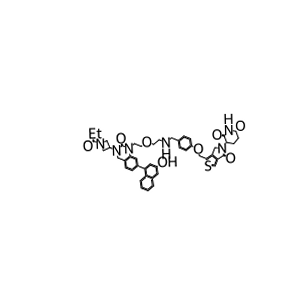 CCC(=O)N1CC(N2Cc3ccc(-c4cc(O)cc5ccccc45)cc3N(CCOCCNCc3ccc(OCc4scc5c4CN(C4CCC(=O)NC4=O)C5=O)cc3)C2=O)C1